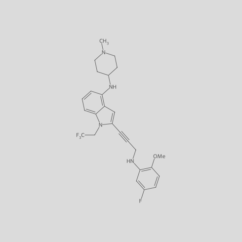 COc1ccc(F)cc1NCC#Cc1cc2c(NC3CCN(C)CC3)cccc2n1CC(F)(F)F